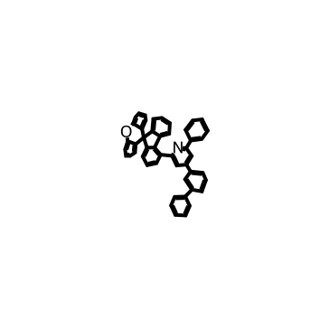 c1ccc(-c2cccc(-c3cc(-c4ccccc4)nc(-c4cccc5c4-c4ccccc4C54c5ccccc5Oc5ccccc54)c3)c2)cc1